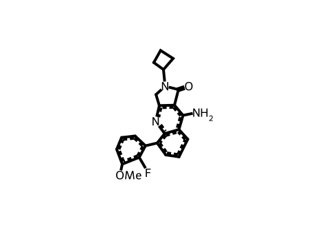 COc1cccc(-c2cccc3c(N)c4c(nc23)CN(C2CCC2)C4=O)c1F